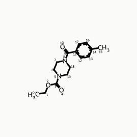 CCOC(=O)N1CCN(C(=O)c2ccc(C)cc2)CC1